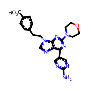 Nc1ncc(-c2nc(N3CCOCC3)nc3c2ncn3CCc2ccc(C(=O)O)cc2)cn1